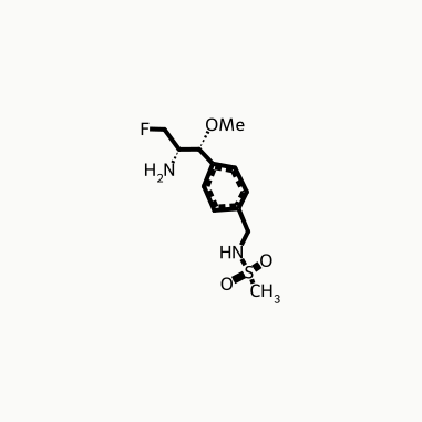 CO[C@H](c1ccc(CNS(C)(=O)=O)cc1)[C@H](N)CF